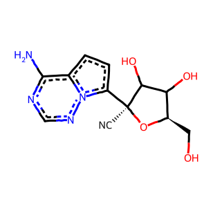 N#C[C@@]1(c2ccc3c(N)ncnn23)O[C@H](CO)C(O)C1O